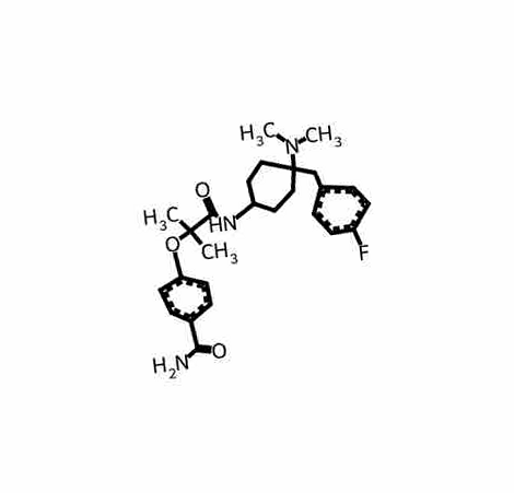 CN(C)C1(Cc2ccc(F)cc2)CCC(NC(=O)C(C)(C)Oc2ccc(C(N)=O)cc2)CC1